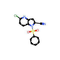 N#Cc1cc2nc(Cl)ccc2n1S(=O)(=O)c1ccccc1